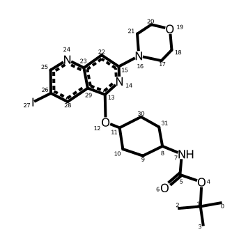 CC(C)(C)OC(=O)NC1CCC(Oc2nc(N3CCOCC3)cc3ncc(I)cc23)CC1